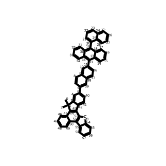 CC1(C)c2cc(-c3ccc4cc(-c5c6ccccc6c(-c6cccc7ccccc67)c6ccccc56)ccc4c3)ccc2-c2c1c1ccccc1c1c2sc2ccccc21